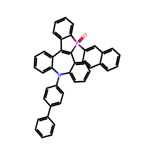 O=P1(c2ccc3ccccc3c2)C2=C(c3ccccc3N(c3ccc(-c4ccccc4)cc3)c3ccccc32)c2ccccc21